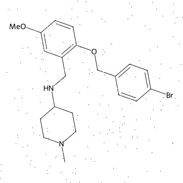 COc1ccc(OCc2ccc(Br)cc2)c(CNC2CCN(C)CC2)c1